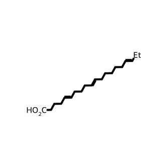 CC/C=C/CCCCC/C=C/CCC/C=C/CCCC(=O)O